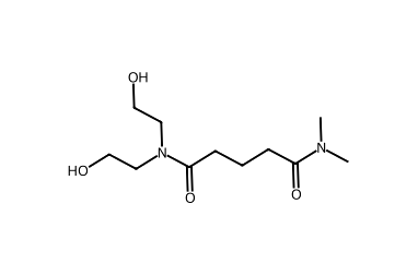 CN(C)C(=O)CCCC(=O)N(CCO)CCO